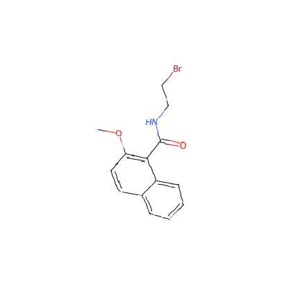 COc1ccc2ccccc2c1C(=O)NCCBr